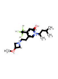 COC1CN(CCc2cn(C(C)CC(C)C)c(=O)cc2C(F)(F)F)C1